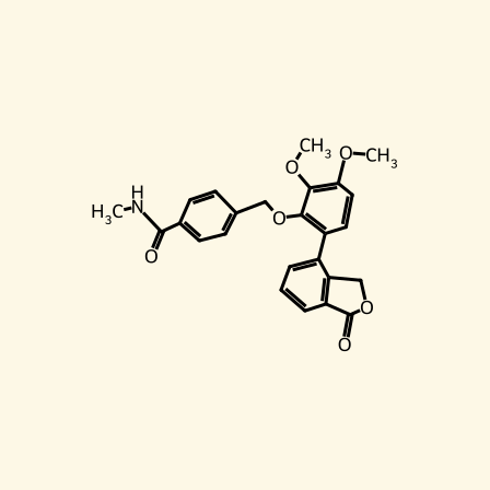 CNC(=O)c1ccc(COc2c(-c3cccc4c3COC4=O)ccc(OC)c2OC)cc1